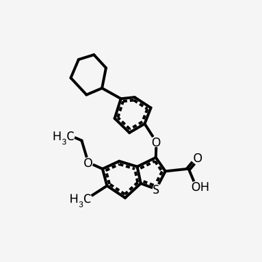 CCOc1cc2c(Oc3ccc(C4CCCCC4)cc3)c(C(=O)O)sc2cc1C